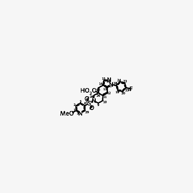 COc1ccc(S(=O)(=O)N2CCC3=Cc4c(cnn4-c4ccc(F)cc4)CC3(C(=O)O)C2)cn1